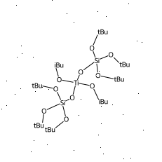 CCC(C)[O][Ti]([O]C(C)CC)([O][Si](OC(C)(C)C)(OC(C)(C)C)OC(C)(C)C)[O][Si](OC(C)(C)C)(OC(C)(C)C)OC(C)(C)C